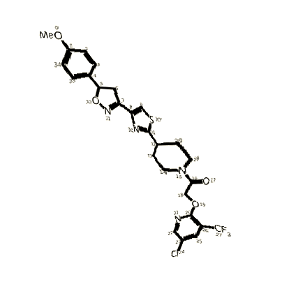 COc1ccc(C2CC(c3csc(C4CCN(C(=O)COc5ncc(Cl)cc5C(F)(F)F)CC4)n3)=NO2)cc1